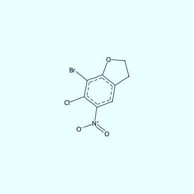 O=[N+]([O-])c1cc2c(c(Br)c1Cl)OCC2